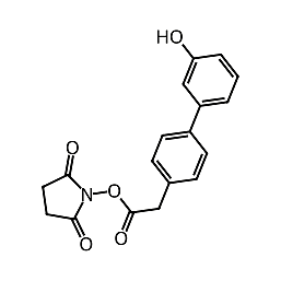 O=C(Cc1ccc(-c2cccc(O)c2)cc1)ON1C(=O)CCC1=O